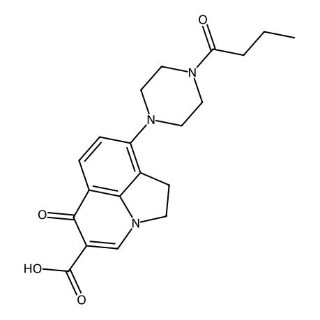 CCCC(=O)N1CCN(c2ccc3c(=O)c(C(=O)O)cn4c3c2CC4)CC1